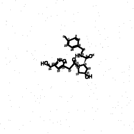 Cc1ccc(CNC(=O)[C@@H]2C[C@@H](O)CN2C(=O)Cc2cc(CO)no2)cc1